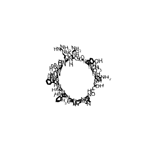 CCCC[C@H]1C(=O)N(C)[C@@H](CCCC)C(=O)N[C@@H](CCCNC(=N)N)C(=O)NC(C(=O)NCC(N)=O)CSCC(=O)N[C@@H](Cc2ccc(O)cc2)C(=O)N(C)[C@@H](C)C(=O)N[C@@H](CC(N)=O)C(=O)NC[C@H](O)CCC(=O)N[C@@H](Cc2cnc[nH]2)C(=O)N[C@@H](CC(C)C)C(=O)NC2(C[C@@H]2C)C(=O)N[C@@H](Cc2c[nH]c3ccccc23)C(=O)N[C@@H](CO)C(=O)N[C@@H](Cc2c[nH]c3ccccc23)C(=O)N1C